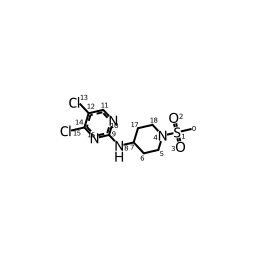 CS(=O)(=O)N1CCC(Nc2ncc(Cl)c(Cl)n2)CC1